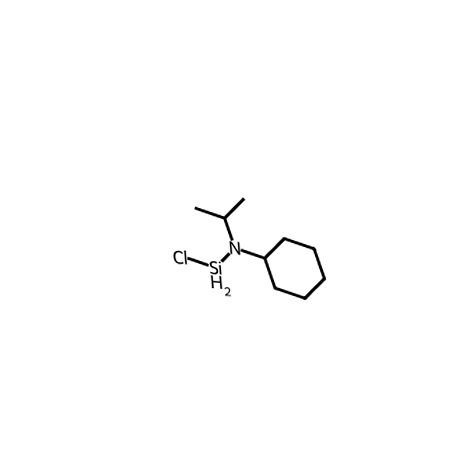 CC(C)N([SiH2]Cl)C1CCCCC1